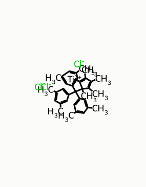 CC1=C(C)C(C)(C(c2cc(C)cc(C)c2)(c2cc(C)cc(C)c2)c2cc(C)cc(C)c2)[C]([Ti+3])=C1C.[Cl-].[Cl-].[Cl-]